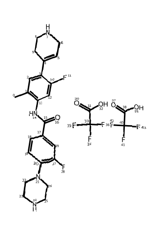 Cc1cc(C2=CCNCC2)c(F)cc1NC(=O)c1ccc(N2CCNCC2)c(F)c1.O=C(O)C(F)(F)F.O=C(O)C(F)(F)F